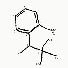 [CH2]C(c1ccccc1Br)C(C)(C)C